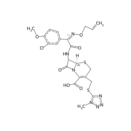 C=CCO/N=C(\C(=O)NC1C(=O)N2C(C(=O)O)=C(CSc3nnnn3C)CS[C@H]12)c1ccc(OC)c(Cl)c1